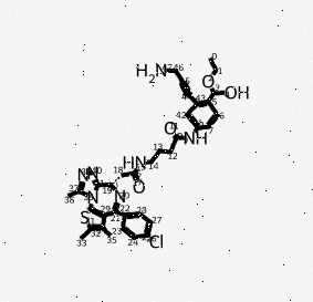 CCOC(O)c1ccc(NC(=O)CCCNC(=O)C[C@@H]2N=C(c3ccc(Cl)cc3)c3c(sc(C)c3C)-n3c(C)nnc32)cc1C#CCN